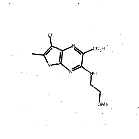 CCc1c(C)sc2nc(NCCOC)c(C(=O)O)nc12